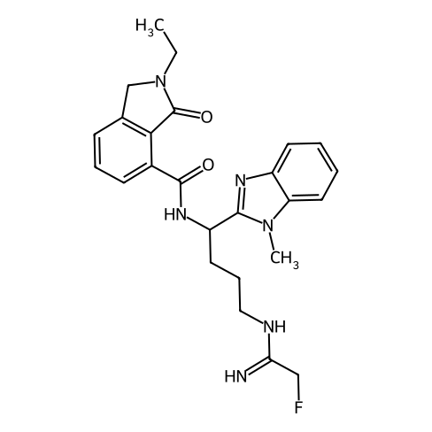 CCN1Cc2cccc(C(=O)NC(CCCNC(=N)CF)c3nc4ccccc4n3C)c2C1=O